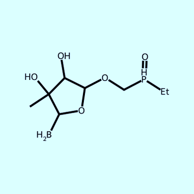 BC1OC(OC[PH](=O)CC)C(O)C1(C)O